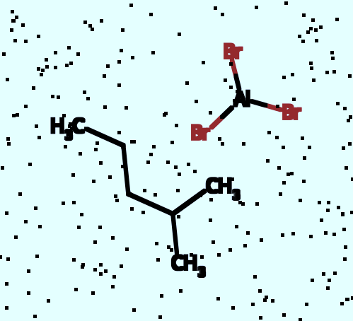 CCCC(C)C.[Br][Al]([Br])[Br]